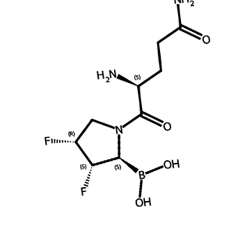 NC(=O)CC[C@H](N)C(=O)N1C[C@@H](F)[C@@H](F)[C@@H]1B(O)O